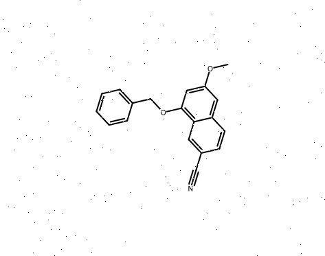 COc1cc(OCc2ccccc2)c2cc(C#N)ccc2c1